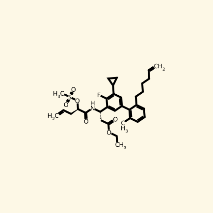 C=CCCCCc1cccc(C)c1-c1cc(C2CC2)c(F)c([C@H](CC(=O)OCC)NC(=O)[C@@H](CC=C)OS(C)(=O)=O)c1